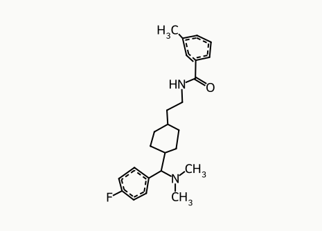 Cc1cccc(C(=O)NCCC2CCC(C(c3ccc(F)cc3)N(C)C)CC2)c1